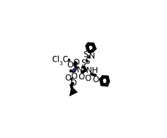 C/C(OC(=O)OCC1CC1)=C(\C(=O)OCC(Cl)(Cl)Cl)N1C(=O)C(NC(=O)COc2ccccc2)C1SSc1nc2ccccc2s1